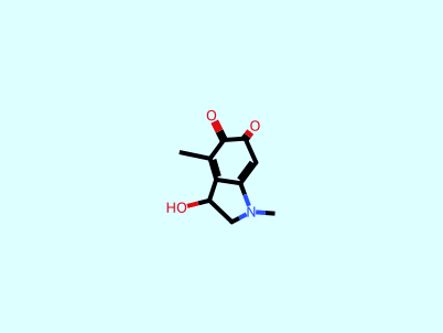 CC1=C2C(=CC(=O)C1=O)N(C)CC2O